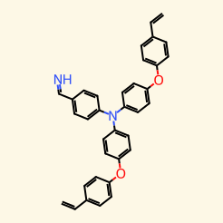 C=Cc1ccc(Oc2ccc(N(c3ccc(C=N)cc3)c3ccc(Oc4ccc(C=C)cc4)cc3)cc2)cc1